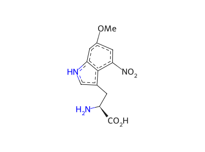 COc1cc([N+](=O)[O-])c2c(C[C@H](N)C(=O)O)c[nH]c2c1